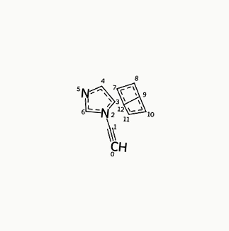 C#Cn1ccnc1.c1cc2ccc1-2